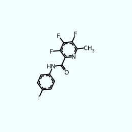 Cc1nc(C(=O)Nc2ccc(I)cc2)c(F)c(F)c1F